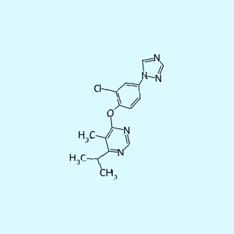 Cc1c(Oc2ccc(-n3cncn3)cc2Cl)ncnc1C(C)C